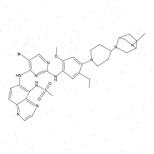 CCc1cc(Nc2ncc(Br)c(Nc3ccc4nccnc4c3NS(C)(=O)=O)n2)c(OC)cc1N1CCC(N2CC3CCC2CN3C)CC1